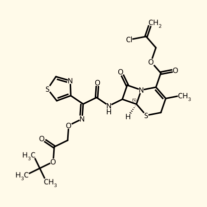 C=C(Cl)COC(=O)C1=C(C)CS[C@H]2C(NC(=O)C(=NOCC(=O)OC(C)(C)C)c3cscn3)C(=O)N12